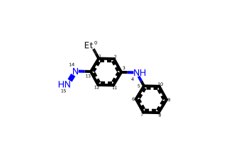 CCc1cc(Nc2ccccc2)ccc1N=N